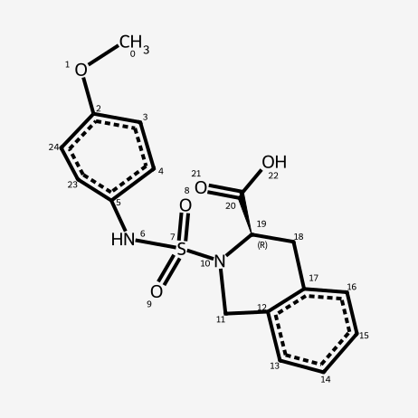 COc1ccc(NS(=O)(=O)N2Cc3ccccc3C[C@@H]2C(=O)O)cc1